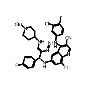 CC(C)(C)N1CCC(N/C=C(\N=N)[C@@H](Nc2cc(Cl)c3ncc(C#N)c(Nc4ccc(F)c(Cl)c4)c3c2)c2ccc(F)cc2)CC1